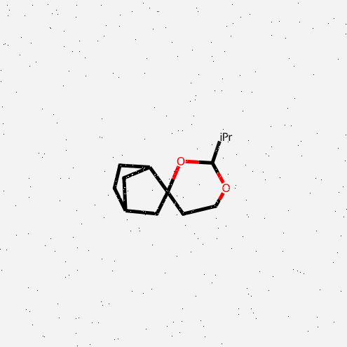 CC(C)C1OCCC2(CC3CCC2C3)O1